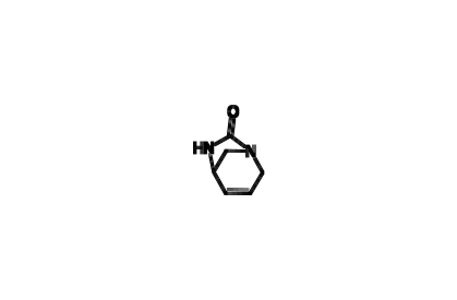 O=C1NC2C=CCN1C2